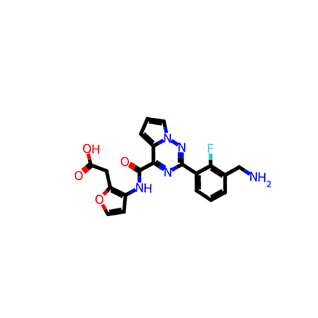 NCc1cccc(-c2nc(C(=O)Nc3ccoc3CC(=O)O)c3cccn3n2)c1F